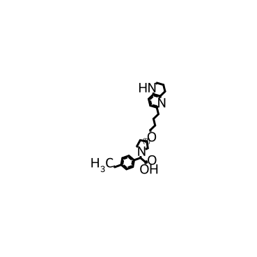 CCc1ccc(C(C(=O)O)N2CC[C@@H](OCCCCc3ccc4c(n3)CCCN4)C2)cc1